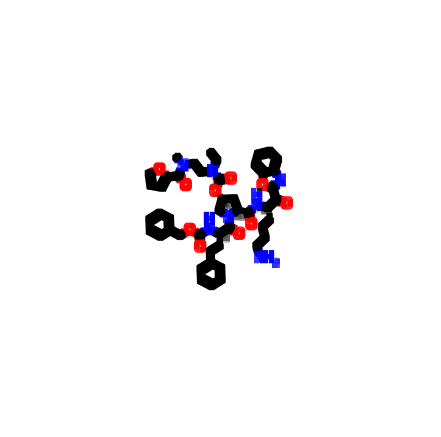 CCN(CCN(C)C(=O)c1ccco1)C(=O)O[C@@H]1C[C@@H](C(=O)N[C@@H](CCCCN)C(=O)c2nc3ccccc3o2)N(C(=O)[C@@H](CCc2ccccc2)NC(=O)OCc2ccccc2)C1